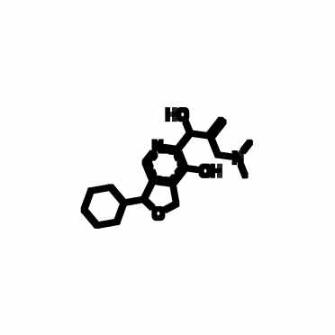 C=C(CN(C)C)C(O)c1ncc2c(c1O)COC2C1CCCCC1